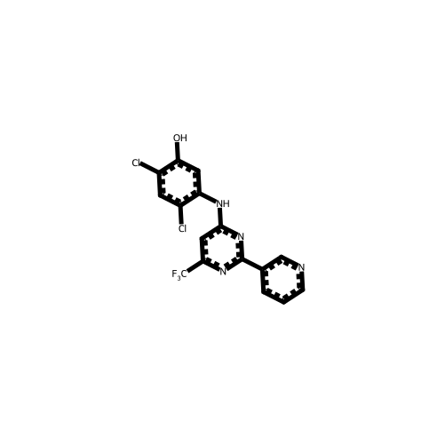 Oc1cc(Nc2cc(C(F)(F)F)nc(-c3cccnc3)n2)c(Cl)cc1Cl